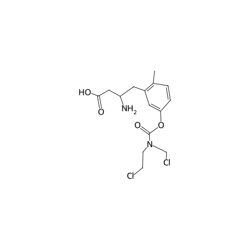 Cc1ccc(OC(=O)N(CCl)CCCl)cc1CC(N)CC(=O)O